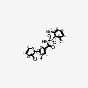 Cn1cc(C(=O)NS(=O)(=O)c2c(Cl)cccc2Br)nc1-c1ncccc1Cl